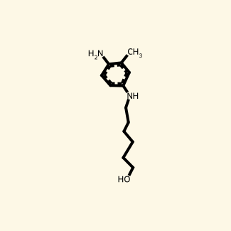 Cc1cc(NCCCCCCO)ccc1N